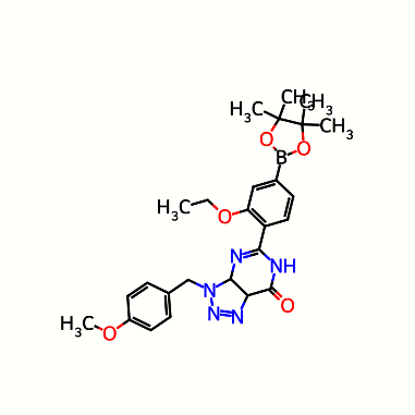 CCOc1cc(B2OC(C)(C)C(C)(C)O2)ccc1C1=NC2C(N=NN2Cc2ccc(OC)cc2)C(=O)N1